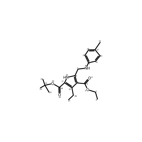 CCOC(=O)c1c(CNc2ccc(C)cc2)[nH]c(C(=O)OC(C)(C)C)c1CC